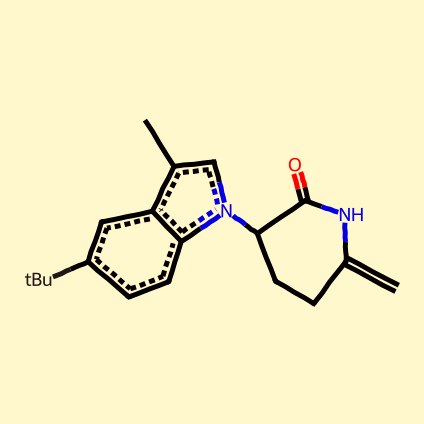 C=C1CCC(n2cc(C)c3cc(C(C)(C)C)ccc32)C(=O)N1